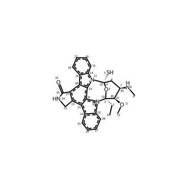 CC[C@]12O[C@](S)(C[C@@H](NC)[C@H]1OC)n1c3ccccc3c3c4c(c5c6ccccc6n2c5c31)CNC4=O